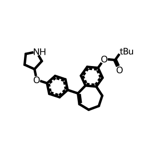 CC(C)(C)C(=O)Oc1ccc2c(c1)CCCC=C2c1ccc(OC2CCNC2)cc1